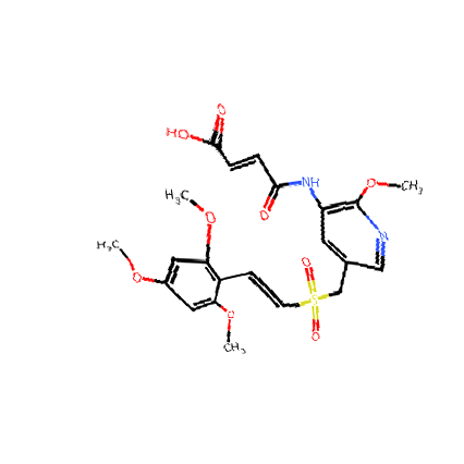 COc1cc(OC)c(C=CS(=O)(=O)Cc2cnc(OC)c(NC(=O)C=CC(=O)O)c2)c(OC)c1